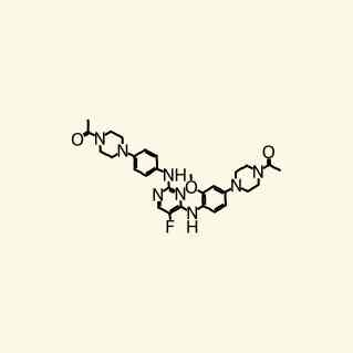 COc1cc(N2CCN(C(C)=O)CC2)ccc1Nc1nc(Nc2ccc(N3CCN(C(C)=O)CC3)cc2)ncc1F